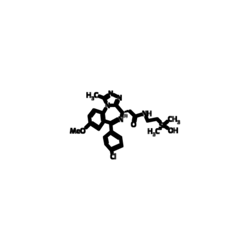 COc1ccc2c(c1)C(c1ccc(Cl)cc1)=N[C@@H](CC(=O)NCC[Si](C)(C)O)c1nnc(C)n1-2